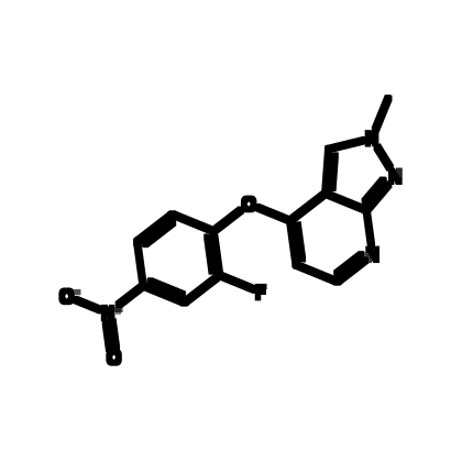 Cn1cc2c(Oc3ccc([N+](=O)[O-])cc3F)ccnc2n1